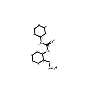 O=C(O)OC1CCCCC1OC(=O)OC1CCCCC1